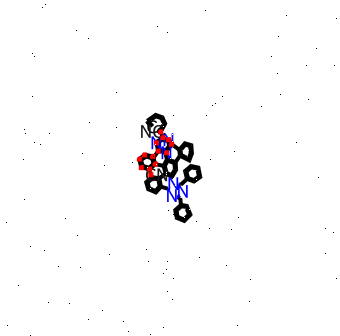 N#CC1=CCCC=C1c1c(-c2ccccc2-c2nc(-c3ccccc3)nc(-c3ccccc3)n2)ccc(-c2ccccc2-c2nc(-c3ccccc3)nc(-c3ccccc3)n2)c1-c1ccc(C#N)cc1